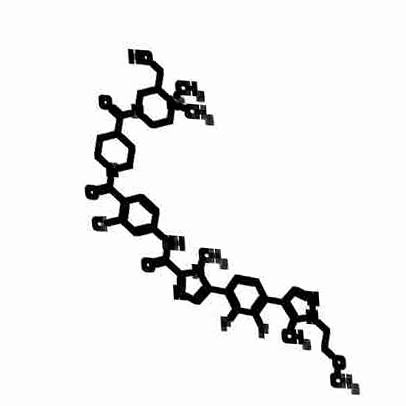 COCCn1ncc(-c2ccc(-c3cnc(C(=O)Nc4ccc(C(=O)N5CCC(C(=O)N6CC[N+](C)(C)C(CO)C6)CC5)c(Cl)c4)n3C)c(F)c2F)c1C